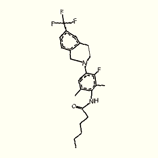 CCCCCC(=O)Nc1c(C)cc(N2CCc3cc(C(F)(F)F)ccc3C2)c(F)c1C